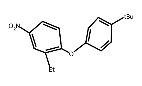 CCc1cc([N+](=O)[O-])ccc1Oc1ccc(C(C)(C)C)cc1